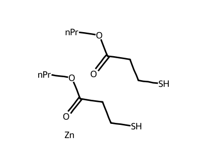 CCCOC(=O)CCS.CCCOC(=O)CCS.[Zn]